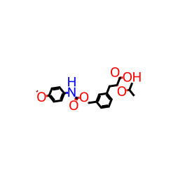 COc1ccc(NC(=O)OCc2cccc(CC(OC(C)C)C(=O)O)c2)cc1